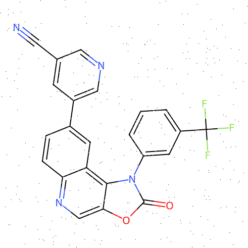 N#Cc1cncc(-c2ccc3ncc4oc(=O)n(-c5cccc(C(F)(F)F)c5)c4c3c2)c1